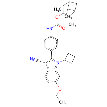 CCOc1ccc2c(C#N)c(-c3ccc(NC(=O)OC4CC5CC(C4C)C5(C)C)cc3)n(C3CCC3)c2c1